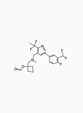 CN(Cc1cc(-c2ccc(F)c(C(F)F)c2)cnc1C(C)(F)F)CC1(OC=O)CCC1